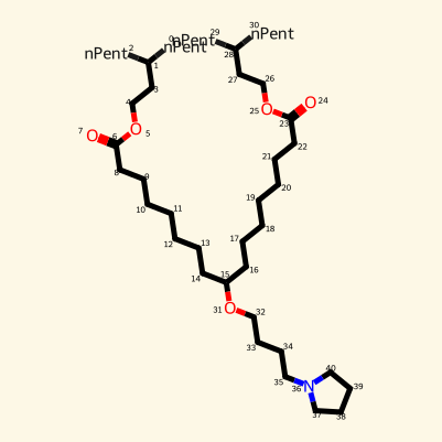 CCCCCC(CCCCC)CCOC(=O)CCCCCCCC(CCCCCCCC(=O)OCCC(CCCCC)CCCCC)OCCCCN1CCCC1